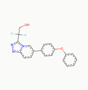 OCC(F)(F)c1nnc2ccc(-c3ccc(Oc4ccccc4)cc3)cn12